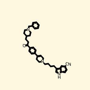 N#Cc1ccc2[nH]cc(CCCCN3CC=C(c4ccc(C(=O)CCC5CCN(Cc6ccccc6)CC5)cc4)CC3)c2c1